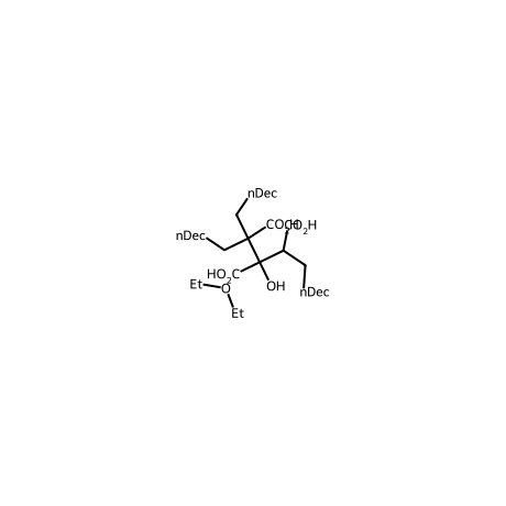 CCCCCCCCCCCC(C(=O)O)C(O)(C(=O)O)C(CCCCCCCCCCC)(CCCCCCCCCCC)C(=O)O.CCOCC